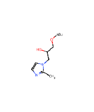 CCCCOCC(O)CN1C=C[N+]=C1C